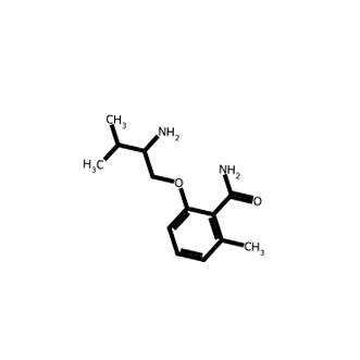 Cc1cccc(OCC(N)C(C)C)c1C(N)=O